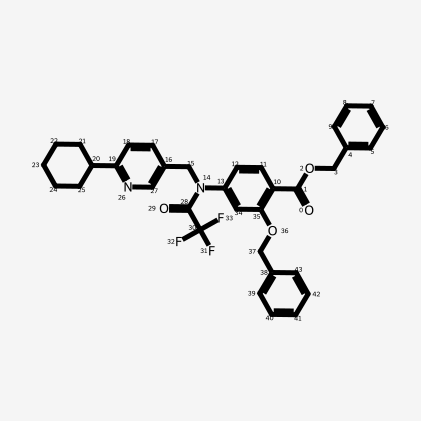 O=C(OCc1ccccc1)c1ccc(N(Cc2ccc(C3CCCCC3)nc2)C(=O)C(F)(F)F)cc1OCc1ccccc1